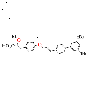 CCOC(Cc1ccc(OCC=Cc2ccc(-c3cc(C(C)(C)C)cc(C(C)(C)C)c3)cc2)cc1)C(=O)O